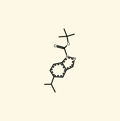 CC(C)c1ccc2c(cnn2C(=O)OC(C)(C)C)c1